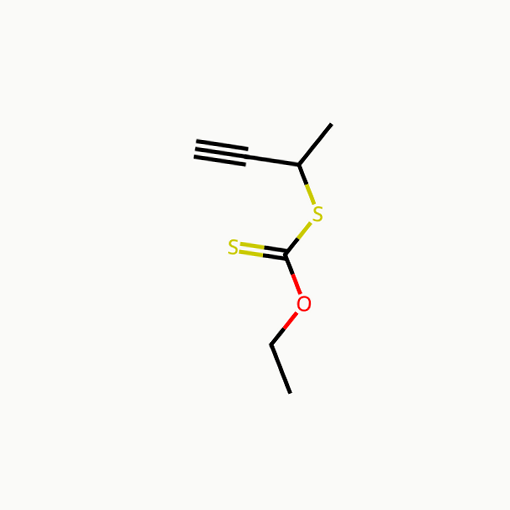 C#CC(C)SC(=S)OCC